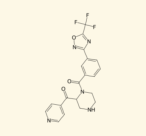 O=C(c1ccncc1)C1CNCCN1C(=O)c1cccc(-c2noc(C(F)(F)F)n2)c1